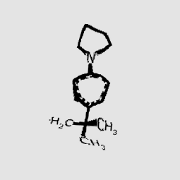 [CH2]C(C)(C)c1ccc(N2CCCC2)cc1